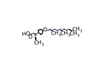 CC#C[C@@H](CC(=O)O)c1ccc(OC/C=C(\C)CC/C=C(\C)CCC=C(C)C)cc1